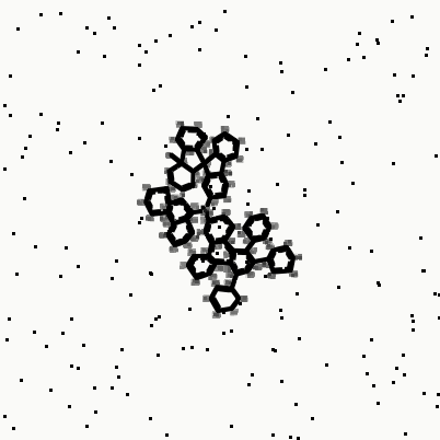 CC12C=CC=CC1C1(c3ccccc3-c3ccc(N(c4ccc5c(c4)c4ccccc4c4c(C6=CC=CCC6)cc(-c6ccccc6)c(-c6ccccc6)c54)c4cc5ccccc5c5ccccc45)cc31)c1ccccc12